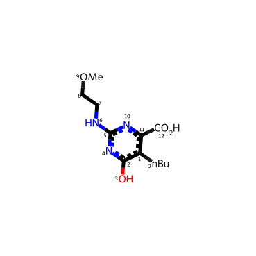 CCCCc1c(O)nc(NCCOC)nc1C(=O)O